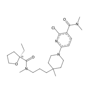 CC[C@@]1(C(=O)N(C)CCCC2(C)CCN(c3ccc(C(=O)N(C)C)c(Cl)n3)CC2)CCCO1